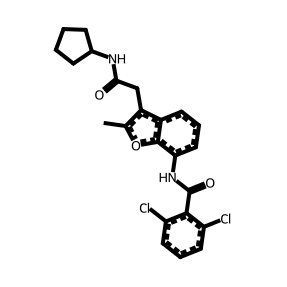 Cc1oc2c(NC(=O)c3c(Cl)cccc3Cl)cccc2c1CC(=O)NC1CCCC1